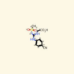 CS(=O)(=O)N=C(NCC(=O)O)Nc1ccc(C#N)cc1